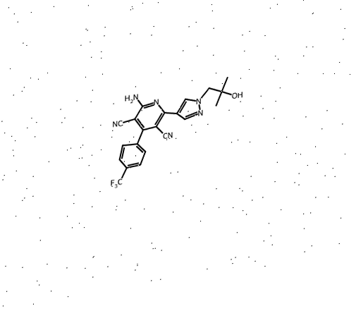 CC(C)(O)Cn1cc(-c2nc(N)c(C#N)c(-c3ccc(C(F)(F)F)cc3)c2C#N)cn1